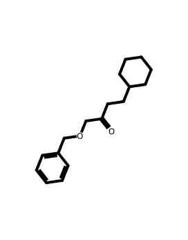 O=C(CCC1CCCCC1)COCc1ccccc1